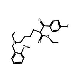 CCOC(=O)C(CCCCN(CC)Cc1ccccc1OC)C(=O)c1ccc(F)cc1